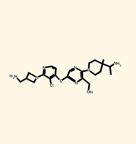 CC(N)C1(C)CCN(c2ncc(Sc3ccnc(N4CC(CN)C4)c3Cl)nc2CO)CC1